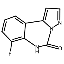 O=c1[nH]c2c(F)cccc2c2ccnn12